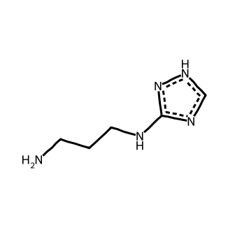 NCCCNc1nc[nH]n1